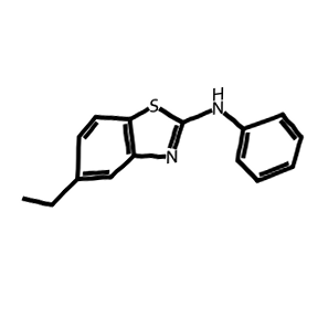 CCc1ccc2sc(Nc3ccccc3)nc2c1